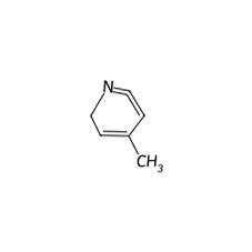 CC1=CCN=C=C1